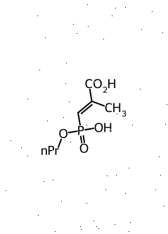 CCCOP(=O)(O)C=C(C)C(=O)O